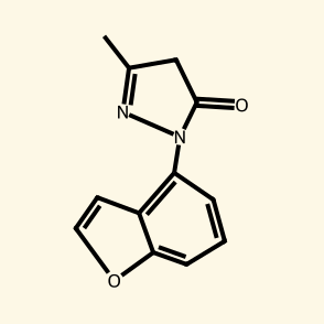 CC1=NN(c2cccc3occc23)C(=O)C1